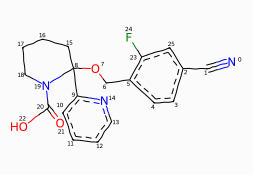 N#Cc1ccc(COC2(c3ccccn3)CCCCN2C(=O)O)c(F)c1